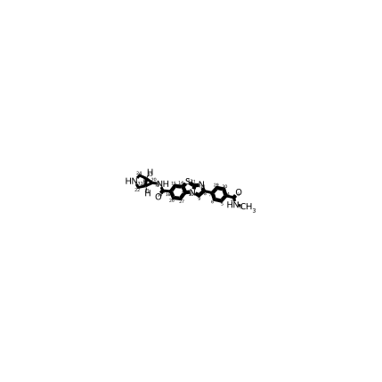 CNC(=O)c1ccc(-c2cn3c(n2)sc2cc(C(=O)NC4[C@H]5CNC[C@@H]45)ccc23)cc1